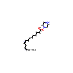 CCCCC/C=C\C/C=C\CCCCCCCC(=O)ON1CCNCC1